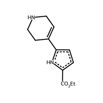 CCOC(=O)c1ccc(C2=CCNCC2)[nH]1